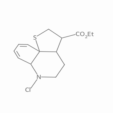 CCOC(=O)C1CSC23C=CC=CC2N(Cl)CCC13